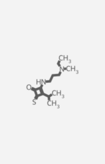 CCN(C)CCCNc1c(C(C)C)c(=S)c1=O